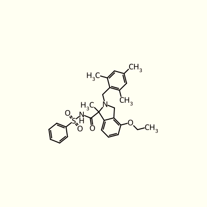 CCOc1cccc2c1CN(Cc1c(C)cc(C)cc1C)C2(C)C(=O)NS(=O)(=O)c1ccccc1